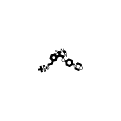 CC(C)(C)[Si](C)(C)OCCc1ccc2sc3ncnc(OC4CCC(N5CCOCC5)CC4)c3c2c1